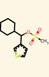 CS(=O)(=O)OC(c1ccsc1)C1CCCCC1